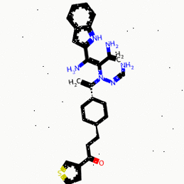 C=C(N)/C(=C(/N)c1cc2ccccc2[nH]1)N(/N=C\N)C(=C)[C@H]1CC[C@H](CCC(=O)c2ccsc2)CC1